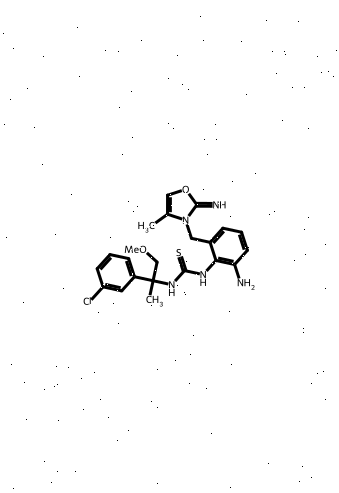 COCC(C)(NC(=S)Nc1c(N)cccc1Cn1c(C)coc1=N)c1cccc(Cl)c1